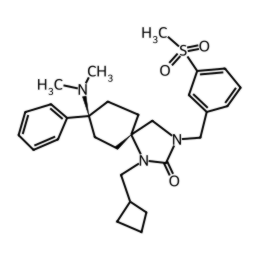 CN(C)[C@]1(c2ccccc2)CC[C@@]2(CC1)CN(Cc1cccc(S(C)(=O)=O)c1)C(=O)N2CC1CCC1